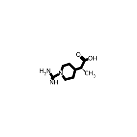 C[C@@H](C(=O)O)C1CCN(C(=N)N)CC1